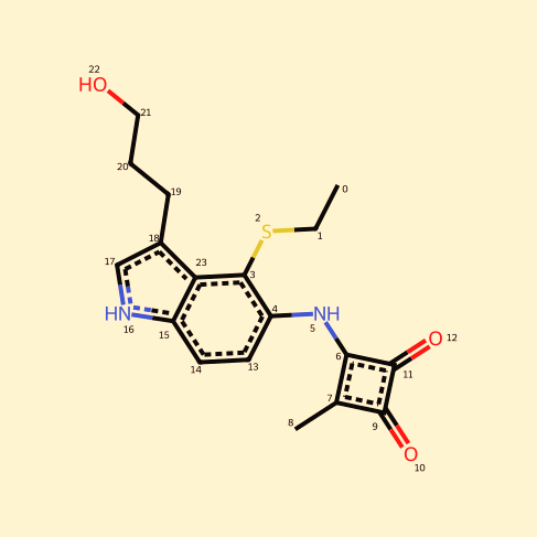 CCSc1c(Nc2c(C)c(=O)c2=O)ccc2[nH]cc(CCCO)c12